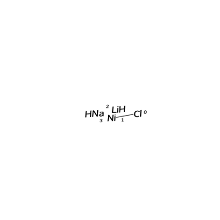 [Cl][Ni].[LiH].[NaH]